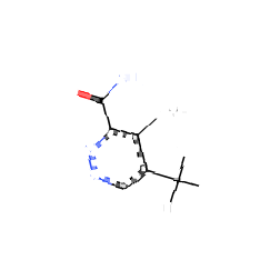 [2H]C([2H])([2H])c1cnnc(C(N)=O)c1SC